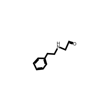 O=[C]CNCCc1ccccc1